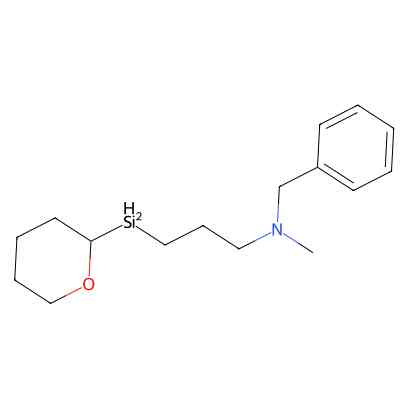 CN(CCC[SiH2]C1CCCCO1)Cc1ccccc1